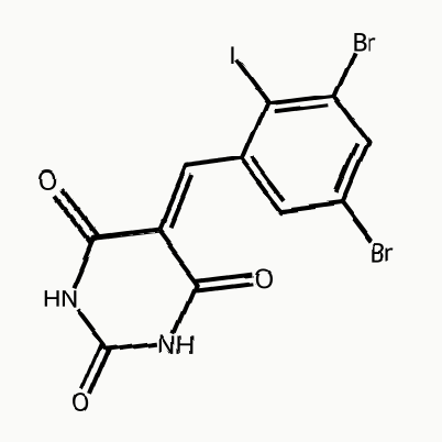 O=C1NC(=O)C(=Cc2cc(Br)cc(Br)c2I)C(=O)N1